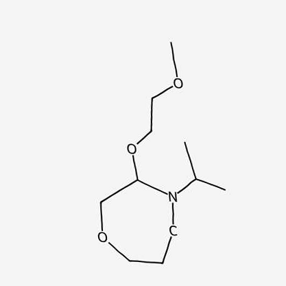 COCCOC1COCCCN1C(C)C